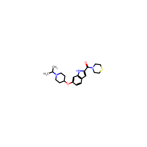 CC(C)N1CCC(Oc2ccc3cc(C(=O)N4CCSCC4)[nH]c3c2)CC1